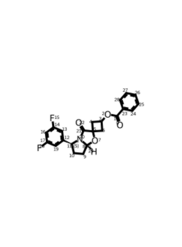 O=C(OC1CC2(C1)O[C@@H]1CC[C@@H](c3cc(F)cc(F)c3)N1C2=O)c1ccccc1